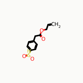 C=CCOC(=O)Cc1ccc([SH](=O)=O)cc1